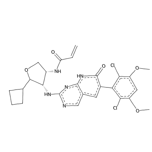 C=CC(=O)N[C@H]1COC(C2CCC2)[C@H]1Nc1ncc2cc(-c3c(Cl)c(OC)cc(OC)c3Cl)c(=O)[nH]c2n1